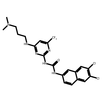 CN(C)CCCNc1cc(C(F)(F)F)nc(NC(=O)Nc2ccc3cc(Cl)c(Cl)cc3c2)n1